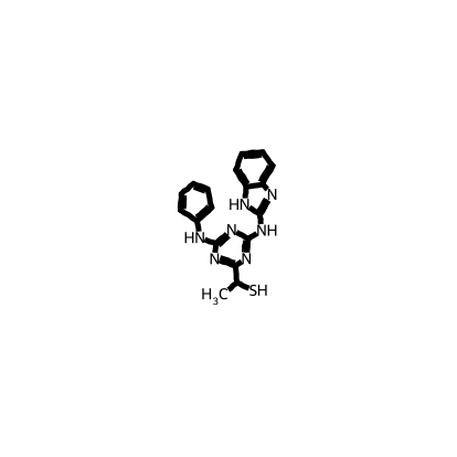 CC(S)c1nc(Nc2ccccc2)nc(Nc2nc3ccccc3[nH]2)n1